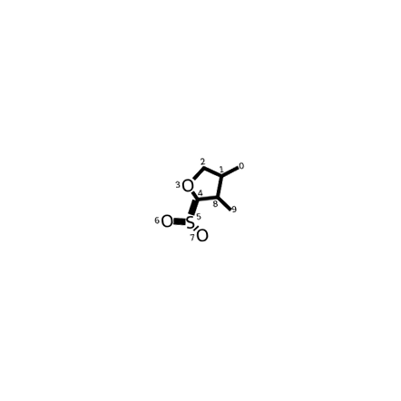 CC1COC(=S(=O)=O)C1C